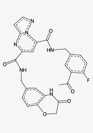 CC(=O)c1cc(CNC(=O)c2cc(C(=O)NCc3ccc4c(c3)NC(=O)CO4)nc3ccnn23)ccc1F